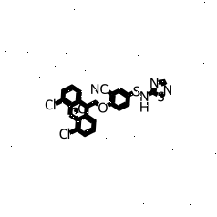 N#Cc1cc(SNc2ncns2)ccc1OCC12CCC(c3c(Cl)cccc31)c1c(Cl)cccc12